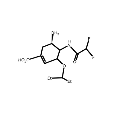 CCC(CC)OC1C=C(C(=O)O)C[C@@H](N)C1NC(=O)C(F)F